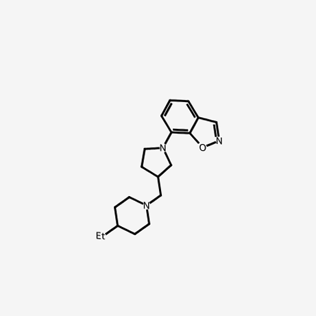 CCC1CCN(CC2CCN(c3cccc4cnoc34)C2)CC1